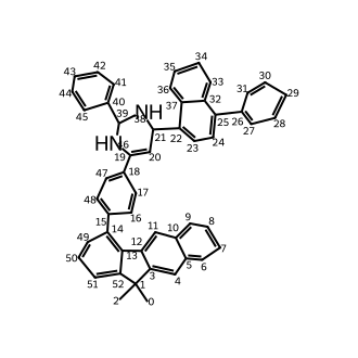 CC1(C)c2cc3ccccc3cc2-c2c(-c3ccc(C4=CC(c5ccc(-c6ccccc6)c6ccccc56)NC(c5ccccc5)N4)cc3)cccc21